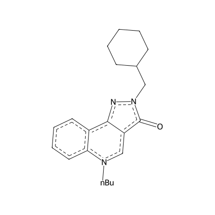 CCCCn1cc2c(=O)n(CC3CCCCC3)nc-2c2ccccc21